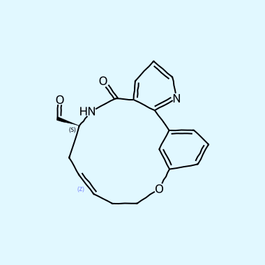 O=C[C@@H]1C/C=C\CCOc2cccc(c2)-c2ncccc2C(=O)N1